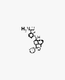 Cc1c(Nc2ccc(C(=O)N3CCCCC3)c3c(C)cccc23)cccc1C(N)=O